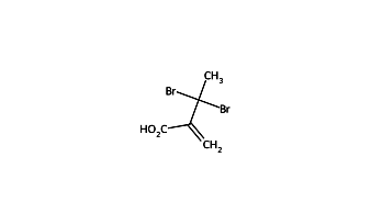 C=C(C(=O)O)C(C)(Br)Br